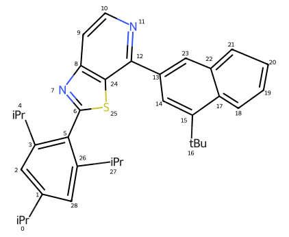 CC(C)c1cc(C(C)C)c(-c2nc3ccnc(-c4cc(C(C)(C)C)c5ccccc5c4)c3s2)c(C(C)C)c1